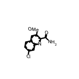 COc1cc2ccc(Cl)cc2nc1C(N)=O